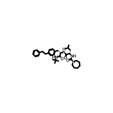 CC(C)C[C@H](NC(=O)N1CCCCCC1)C(=O)N[C@@H](Cc1ccc(CCc2ccccc2)cc1)C(=O)NC(C)(C)C